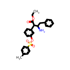 CCOC(=O)C(c1cccc(OS(=O)(=O)c2ccc(C)cc2)c1)C(N)Cc1ccccc1